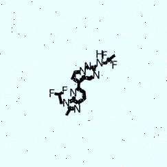 Cc1nc2ccc(-c3ccn4nc(NCC(C)(F)F)ncc34)nc2n1CC(F)F